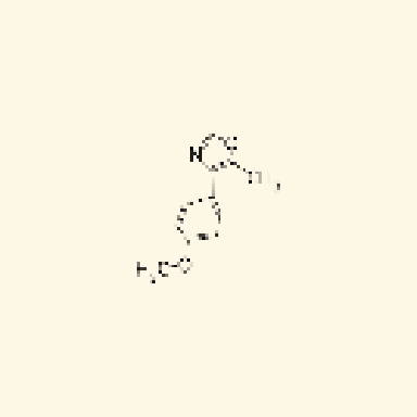 COc1ccc(-c2ncoc2C)cc1